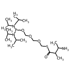 CC(N)C(C)C(=O)SCOCOCOP(N(C(C)C)C(C)C)N(C(C)C)C(C)C